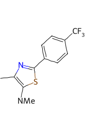 CNc1sc(-c2ccc(C(F)(F)F)cc2)nc1C